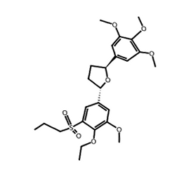 CCCS(=O)(=O)c1cc([C@@H]2CC[C@@H](c3cc(OC)c(OC)c(OC)c3)O2)cc(OC)c1OCC